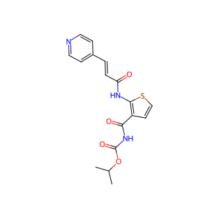 CC(C)OC(=O)NC(=O)c1ccsc1NC(=O)/C=C/c1ccncc1